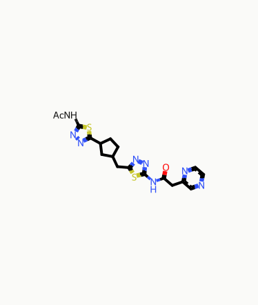 CC(=O)Nc1nnc(C2CCC(Cc3nnc(NC(=O)Cc4cnccn4)s3)C2)s1